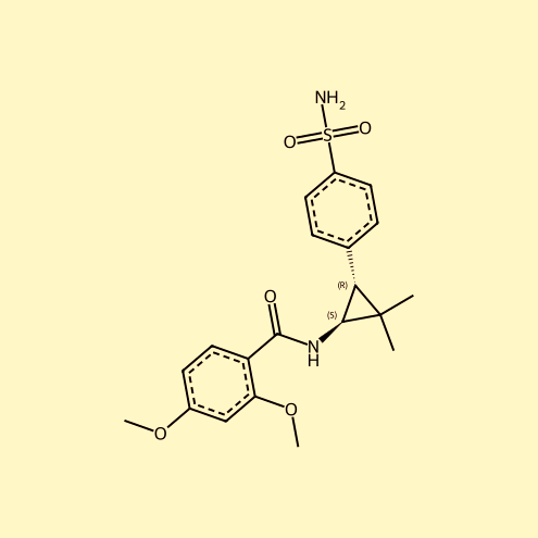 COc1ccc(C(=O)N[C@H]2[C@H](c3ccc(S(N)(=O)=O)cc3)C2(C)C)c(OC)c1